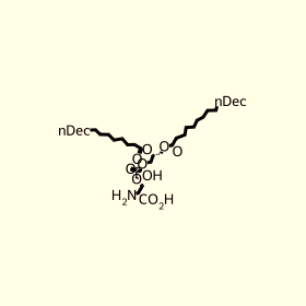 CCCCCCCCCCCCCCCCCCC(=O)OC[C@H](COP(=O)(O)OC[C@H](N)C(=O)O)OC(=O)CCCCCCCCCCCCCCCCC